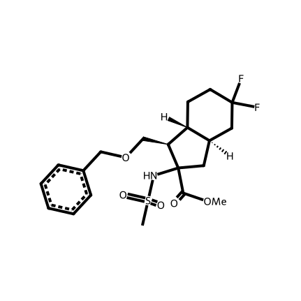 COC(=O)C1(NS(C)(=O)=O)C[C@@H]2CC(F)(F)CC[C@H]2[C@@H]1COCc1ccccc1